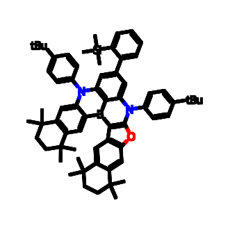 CC(C)(C)c1ccc(N2c3cc4c(cc3B3c5c2cc(-c2ccccc2[Si](C)(C)C)cc5N(c2ccc(C(C)(C)C)cc2)c2oc5cc6c(cc5c23)C(C)(C)CCC6(C)C)C(C)(C)CCC4(C)C)cc1